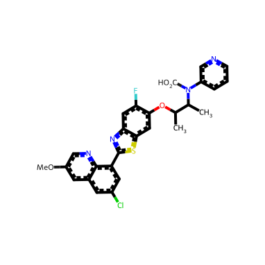 COc1cnc2c(-c3nc4cc(F)c(OC(C)C(C)N(C(=O)O)c5cccnc5)cc4s3)cc(Cl)cc2c1